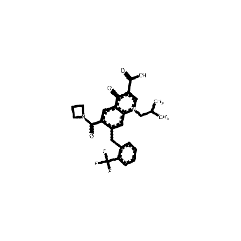 CC(C)Cn1cc(C(=O)O)c(=O)c2cc(C(=O)N3CCC3)c(Cc3ccccc3C(F)(F)F)cc21